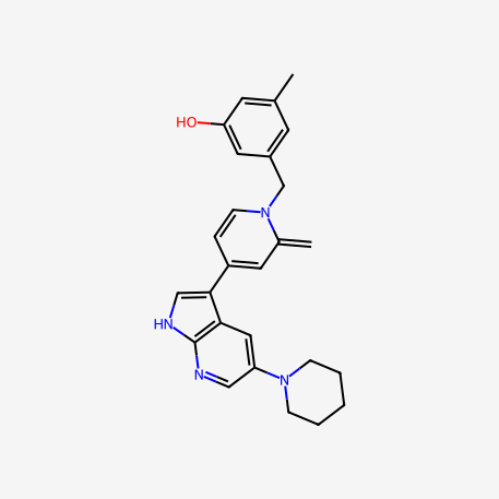 C=C1C=C(c2c[nH]c3ncc(N4CCCCC4)cc23)C=CN1Cc1cc(C)cc(O)c1